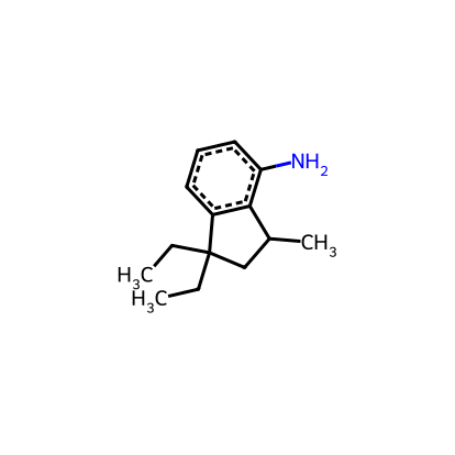 CCC1(CC)CC(C)c2c(N)cccc21